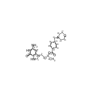 CC(OCN1CNc2c1nc(N)[nH]c2=O)OC(=O)c1ccc(CN2CCOCC2)cc1